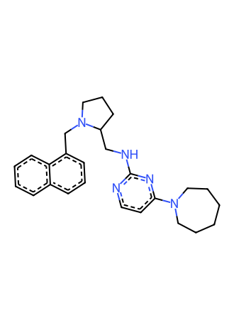 c1ccc2c(CN3CCCC3CNc3nccc(N4CCCCCC4)n3)cccc2c1